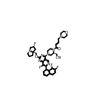 N#CC[C@H]1CN(c2nc(OC[C@@]34CCCN3C[C@H](F)C4)nc3c(F)c(-c4cccc5ccc(F)c(F)c45)ncc23)CCN1C(=O)/C=C/CN1CCOCC1